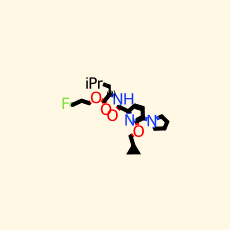 CC(C)C[C@@H](NC(=O)c1ccc(N2CCCC2)c(OCC2CC2)n1)C(=O)OCCCF